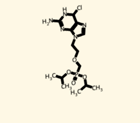 CC(C)OP(=O)(COCCn1cnc2c1N=C(N)NC2Cl)OC(C)C